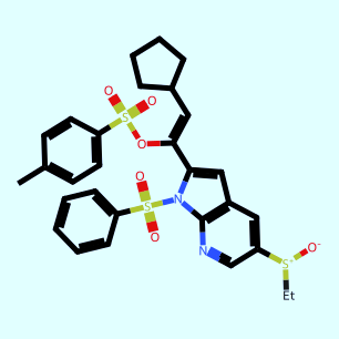 CC[S+]([O-])c1cnc2c(c1)cc(C(=CC1CCCC1)OS(=O)(=O)c1ccc(C)cc1)n2S(=O)(=O)c1ccccc1